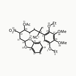 CCOc1cc(C(C)(C#N)CCC(OC(C)=O)C(CC2Oc3ccccc3O2)[N+](=O)[O-])c(OCC)c(OC)c1OC